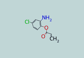 C=CC(=O)Oc1ccc(Cl)cc1N